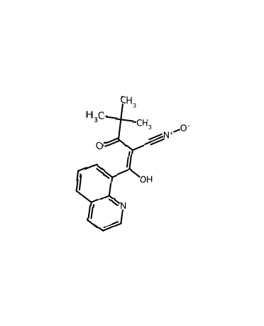 CC(C)(C)C(=O)C(C#[N+][O-])=C(O)c1cccc2cccnc12